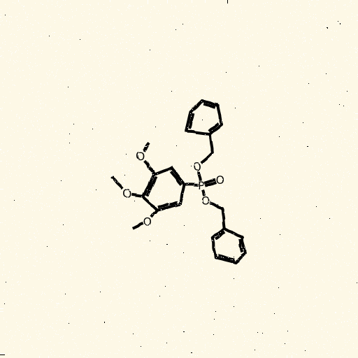 COc1cc(P(=O)(OCc2ccccc2)OCc2ccccc2)cc(OC)c1OC